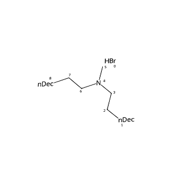 Br.CCCCCCCCCCCCN(C)CCCCCCCCCCCC